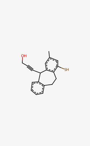 Cc1cc(S)c2c(c1)C(C#CCO)c1ccccc1CC2